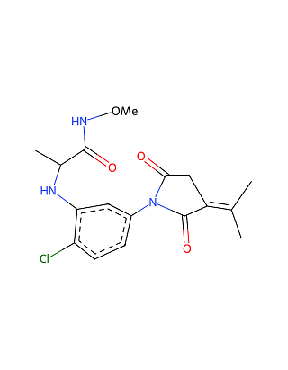 CONC(=O)C(C)Nc1cc(N2C(=O)CC(=C(C)C)C2=O)ccc1Cl